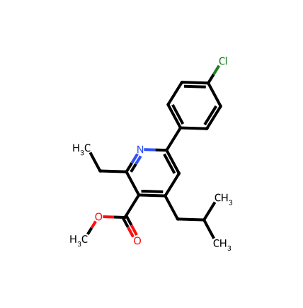 CCc1nc(-c2ccc(Cl)cc2)cc(CC(C)C)c1C(=O)OC